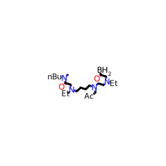 BC(=O)CN(CC)CCN(CCCCN(CC)CC(=O)N(C)CCCC)CC(C)=O